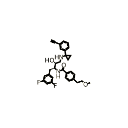 C#Cc1cccc(C2(NC[C@H](O)[C@H](Cc3cc(F)cc(F)c3)NC(=O)c3ccc(CCOC)cc3)CC2)c1